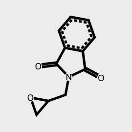 O=C1c2ccccc2C(=O)N1CC1CO1